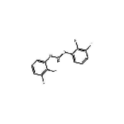 Fc1cccc(OBOc2cccc(F)c2F)c1F